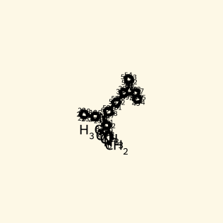 C=N/C=C\C1=C(C)C(C)(C)c2cc(N(c3ccc(-c4ccccc4)cc3)c3ccc(-c4ccc(-c5ccc6c(c5)c5c7ccccc7ccc5n6-c5ccccc5)cc4)cc3)ccc21